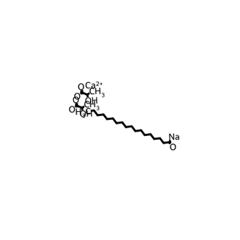 CC(O)C(=O)[O-].CC(O)C(=O)[O-].CCCCCCCCCCCCCCCCC[C](=O)[Na].[Ca+2]